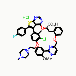 COc1ccccc1-c1nccc(COc2ccccc2C[C@@H](Oc2ncnc3sc(-c4ccc(F)cc4)c(-c4ccc(OCCN5CCN(C)CC5)c(Cl)c4C)c23)C(=O)O)n1.Cl